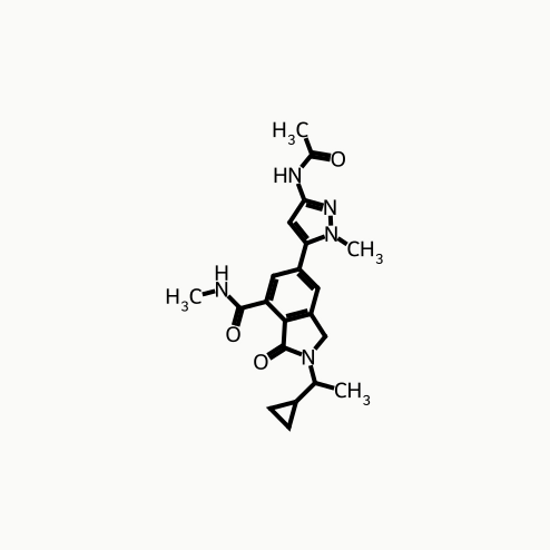 CNC(=O)c1cc(-c2cc(NC(C)=O)nn2C)cc2c1C(=O)N(C(C)C1CC1)C2